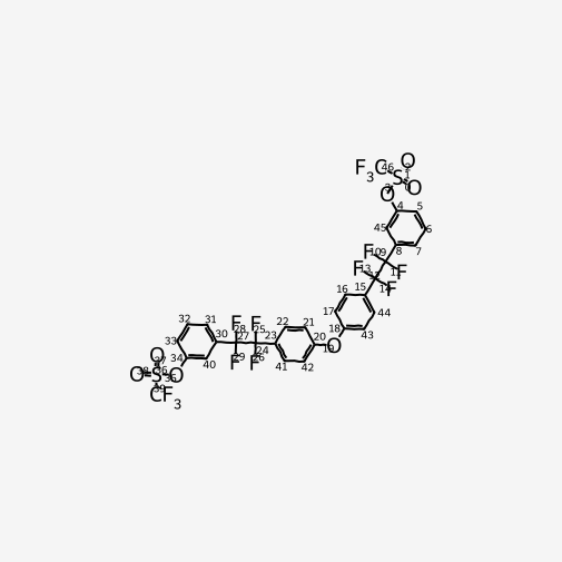 O=S(=O)(Oc1cccc(C(F)(F)C(F)(F)c2ccc(Oc3ccc(C(F)(F)C(F)(F)c4cccc(OS(=O)(=O)C(F)(F)F)c4)cc3)cc2)c1)C(F)(F)F